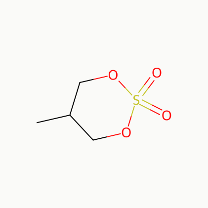 CC1COS(=O)(=O)OC1